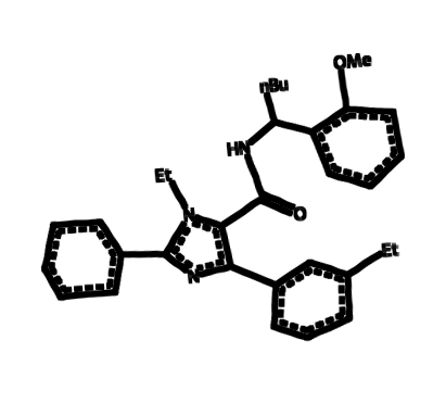 CCCCC(NC(=O)c1c(-c2cccc(CC)c2)nc(-c2ccccc2)n1CC)c1ccccc1OC